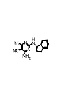 CCc1nc(N[C@@H]2CCc3ccccc32)nc(N)c1C#N